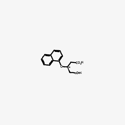 CCCCCCCCCCC[C@H](CC(=O)O)Oc1cccc2ccccc12